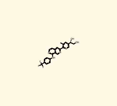 Cc1cc([C@@H](O)CO)cnc1-c1cc2ccnc(Nc3ccc(C(F)(F)F)cc3)c2cn1